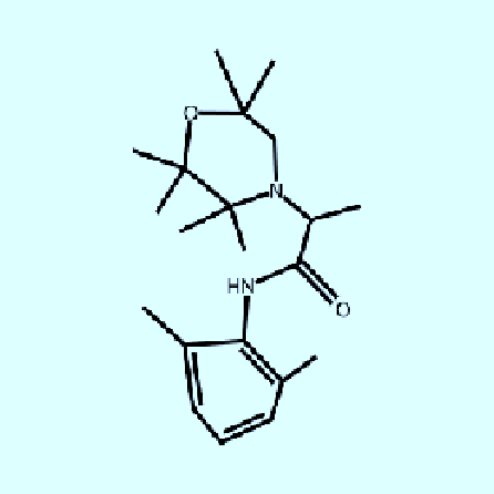 Cc1cccc(C)c1NC(=O)C(C)N1CC(C)(C)OC(C)(C)C1(C)C